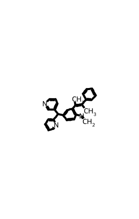 C=Nc1ccc(C(c2cccnc2)c2ccccn2)cc1/C(C)=C(\C)c1ccccc1